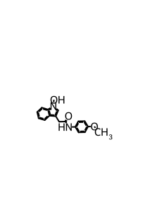 COc1ccc(NC(=O)Cc2cn(O)c3ccccc23)cc1